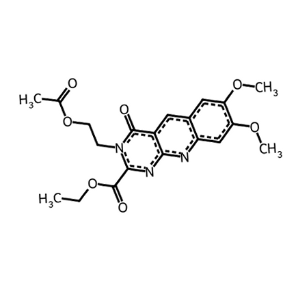 CCOC(=O)c1nc2nc3cc(OC)c(OC)cc3cc2c(=O)n1CCOC(C)=O